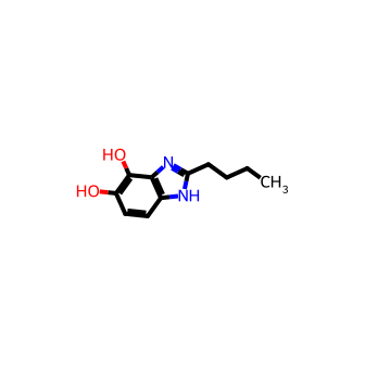 CCCCc1nc2c(O)c(O)ccc2[nH]1